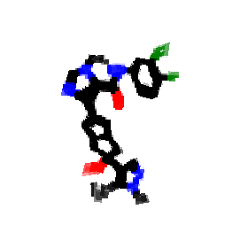 CCn1ncc(C2(O)CC3CC(c4ncn(C)c4C(=O)Nc4ccc(F)c(Cl)c4)CC3C2)c1C(F)(F)F